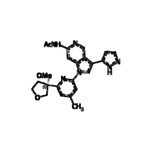 CO[C@@]1(c2cc(C)cc(-n3cc(-c4ccn[nH]4)c4cnc(NC(C)=O)cc43)n2)CCOC1